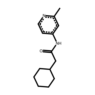 Cc1cc(NC(=O)CC2CCCCC2)ccn1